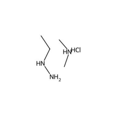 CCNN.CNC.Cl